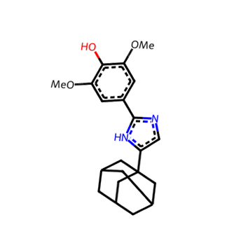 COc1cc(-c2ncc(C34CC5CC(CC(C5)C3)C4)[nH]2)cc(OC)c1O